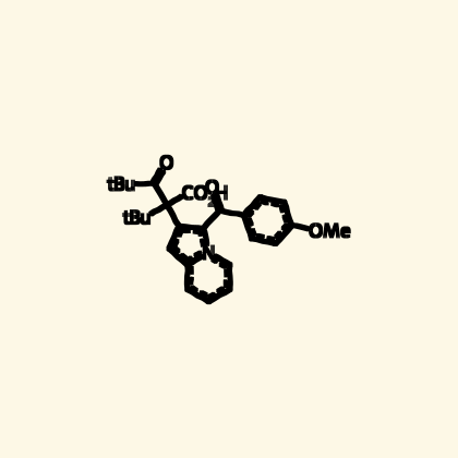 COc1ccc(C(=O)c2c(C(C(=O)O)(C(=O)C(C)(C)C)C(C)(C)C)cc3ccccn23)cc1